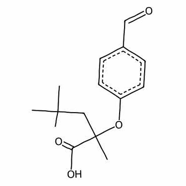 CC(C)(C)CC(C)(Oc1ccc(C=O)cc1)C(=O)O